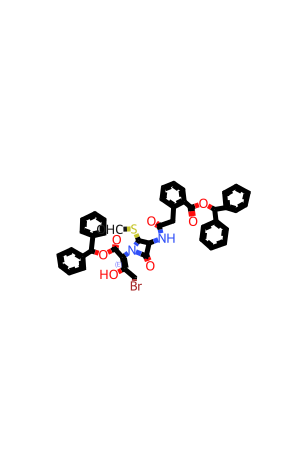 O=CSC1C(NC(=O)Cc2ccccc2C(=O)OC(c2ccccc2)c2ccccc2)C(=O)N1/C(C(=O)OC(c1ccccc1)c1ccccc1)=C(/O)CBr